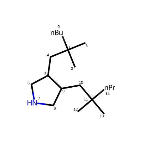 CCCCC(C)(C)CC1CNCC1CC(C)(C)CCC